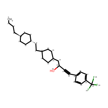 CCCC[C@H]1CC[C@H](CCC2CCC(CC(O)C#Cc3ccc(C(F)(F)F)cc3)CC2)CC1